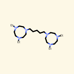 CCN1CCN(CC)CCN(CCCCCN2CCN(CC)CCN(CC)CC2)CC1